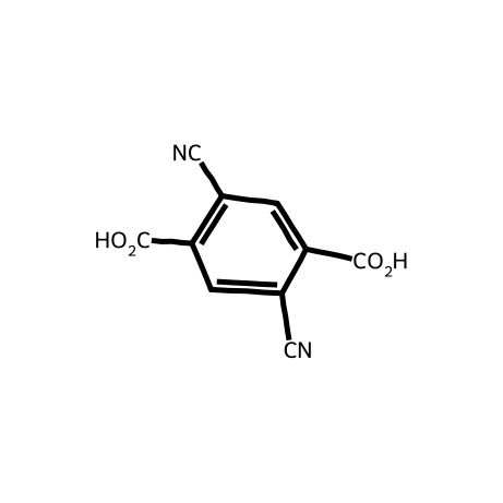 N#Cc1cc(C(=O)O)c(C#N)cc1C(=O)O